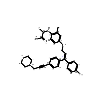 Cc1cc(OC/C=C(/c2ccc(F)cc2)c2ccc(C#CCN3CCOCC3)cc2)ccc1OC(C)C(=O)O